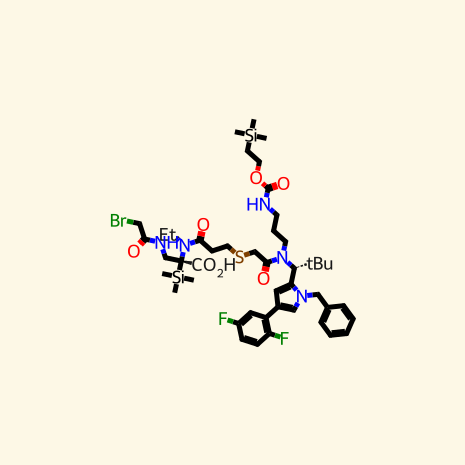 CCN(C(=O)CCSCC(=O)N(CCCNC(=O)OCC[Si](C)(C)C)[C@@H](c1cc(-c2cc(F)ccc2F)cn1Cc1ccccc1)C(C)(C)C)[C@](CNC(=O)CBr)(C(=O)O)[Si](C)(C)C